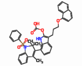 CC1=C(c2cccc3c(CCCOc4cccc5ccccc45)c(OC(=O)O)[nH]c23)C(C)(C)N(S(=O)(=O)c2ccccc2)c2ccccc21